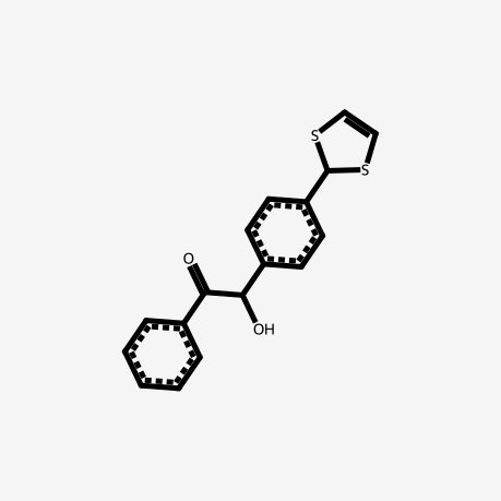 O=C(c1ccccc1)C(O)c1ccc(C2SC=CS2)cc1